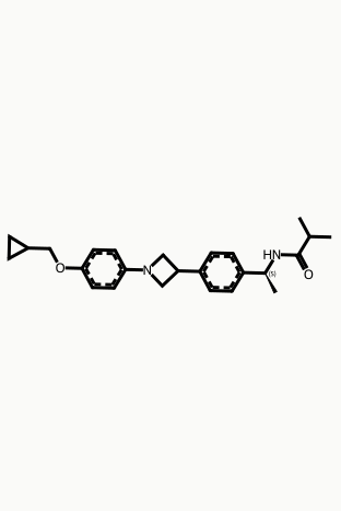 CC(C)C(=O)N[C@@H](C)c1ccc(C2CN(c3ccc(OCC4CC4)cc3)C2)cc1